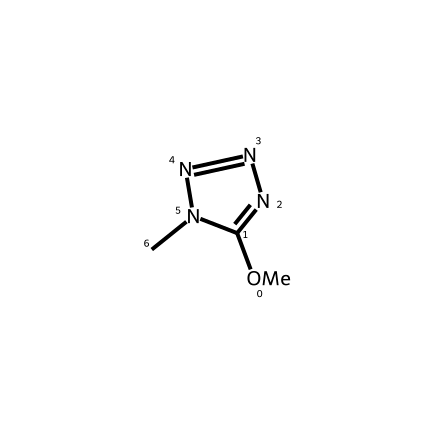 [CH2-][OH+]c1nnnn1C